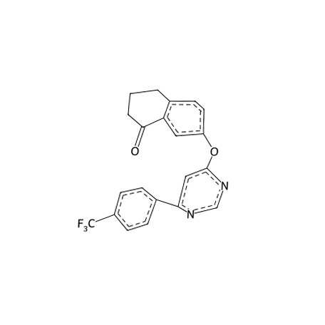 O=C1CCCc2ccc(Oc3cc(-c4ccc(C(F)(F)F)cc4)ncn3)cc21